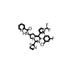 O=C(N[C@H]1CC2=C(c3ccn(C(F)F)n3)[C@H](c3ccc(F)cc3Cl)N=C(c3nccs3)N2C1)c1ccccn1